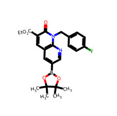 CCOC(=O)c1cc2cc(B3OC(C)(C)C(C)(C)O3)cnc2n(Cc2ccc(F)cc2)c1=O